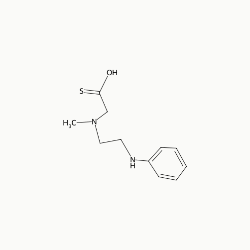 CN(CCNc1ccccc1)CC(O)=S